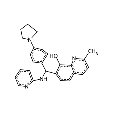 Cc1ccc2ccc(C(Nc3ccccn3)c3ccc(N4CCCC4)cc3)c(O)c2n1